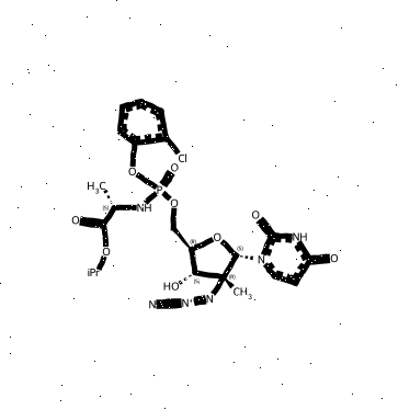 CC(C)OC(=O)[C@H](C)NP(=O)(OC[C@H]1O[C@H](n2ccc(=O)[nH]c2=O)[C@](C)(N=[N+]=[N-])[C@@H]1O)Oc1ccccc1Cl